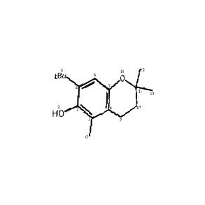 Cc1c(O)c(C(C)(C)C)cc2c1CCC(C)(C)O2